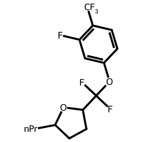 CCCC1CCC(C(F)(F)Oc2ccc(C(F)(F)F)c(F)c2)O1